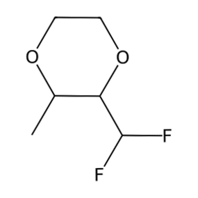 CC1OCCOC1C(F)F